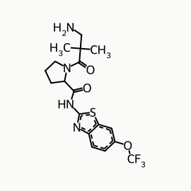 CC(C)(CN)C(=O)N1CCCC1C(=O)Nc1nc2ccc(OC(F)(F)F)cc2s1